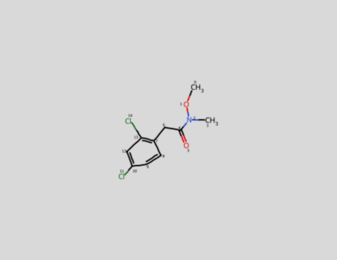 CON(C)C(=O)Cc1ccc(Cl)cc1Cl